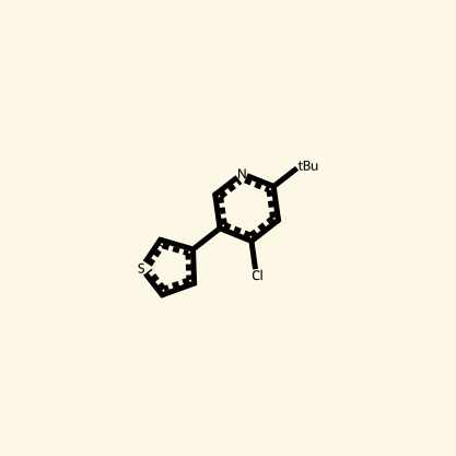 CC(C)(C)c1cc(Cl)c(-c2ccsc2)cn1